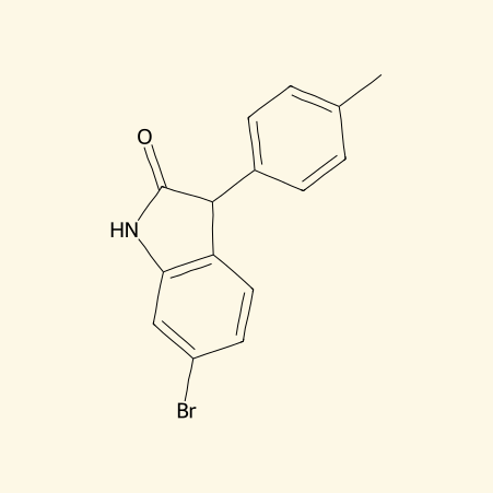 Cc1ccc(C2C(=O)Nc3cc(Br)ccc32)cc1